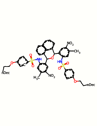 CCCCCCCCCCCCOc1ccc(S(=O)(=O)Nc2cc(C)c([N+](=O)[O-])cc2C(OC(c2ccccc2)c2cc([N+](=O)[O-])c(C)cc2NS(=O)(=O)c2ccc(OCCCCCCCCCCCC)cc2)c2ccccc2)cc1